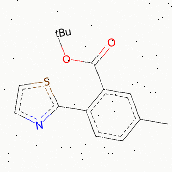 Cc1ccc(-c2nccs2)c(C(=O)OC(C)(C)C)c1